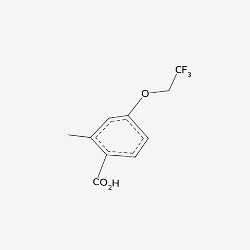 Cc1cc(OCC(F)(F)F)ccc1C(=O)O